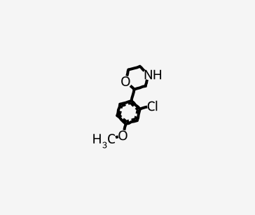 COc1ccc(C2CNCCO2)c(Cl)c1